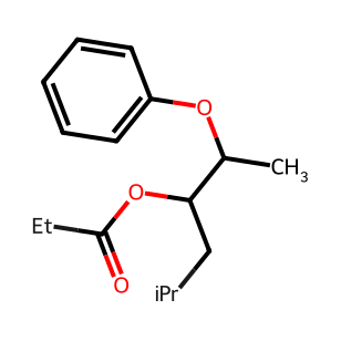 CCC(=O)OC(CC(C)C)C(C)Oc1ccccc1